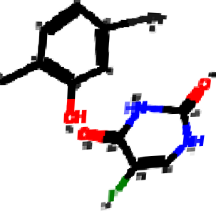 Cc1ccc(C(C)C)cc1O.O=c1[nH]cc(F)c(=O)[nH]1